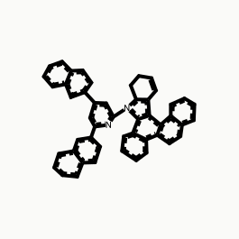 C1=Cc2c(n(-c3cc(-c4ccc5ccccc5c4)cc(-c4ccc5ccccc5c4)n3)c3c4ccccc4c4ccc5ccccc5c4c23)CC1